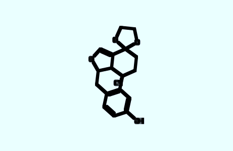 [C-]#[N+]C12CCC3(OCCO3)C3=COC(Cc4ccc(O)cc41)C32